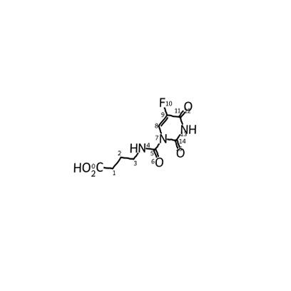 O=C(O)CCCNC(=O)n1cc(F)c(=O)[nH]c1=O